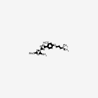 CSc1nc(N)n(-c2nnc(-c3ccc(OCCCN(C)C)cc3)s2)n1.Cl